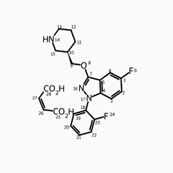 Fc1ccc2c(c1)c(OC[C@@H]1CCCNC1)nn2-c1ccccc1F.O=C(O)/C=C\C(=O)O